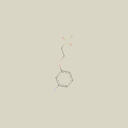 CS(=O)(=O)CCOc1cccc(I)c1